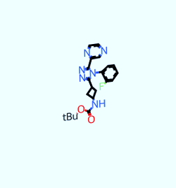 CC(C)(C)OC(=O)NC1CC(c2nnc(-c3cnccn3)n2-c2ccccc2F)C1